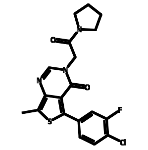 Cc1sc(-c2ccc(Cl)c(F)c2)c2c(=O)n(CC(=O)N3CCCC3)cnc12